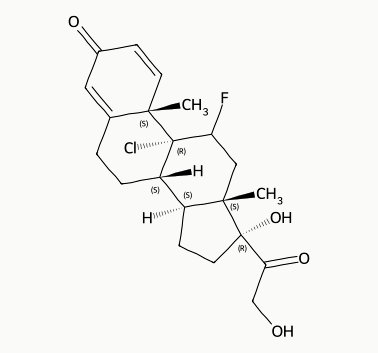 C[C@]12C=CC(=O)C=C1CC[C@H]1[C@@H]3CC[C@](O)(C(=O)CO)[C@@]3(C)CC(F)[C@@]12Cl